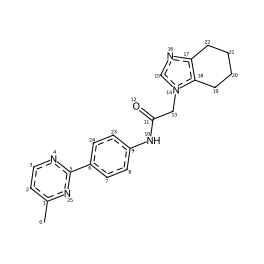 Cc1ccnc(-c2ccc(NC(=O)Cn3cnc4c3CCCC4)cc2)n1